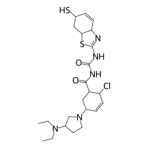 CCN(CC)C1CCN(C2C=CC(Cl)C(C(=O)NC(=O)NC3=NC4C=CC(S)CC4S3)C2)C1